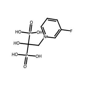 O=P(O)(O)C(O)(C[n+]1cccc(F)c1)P(=O)(O)O